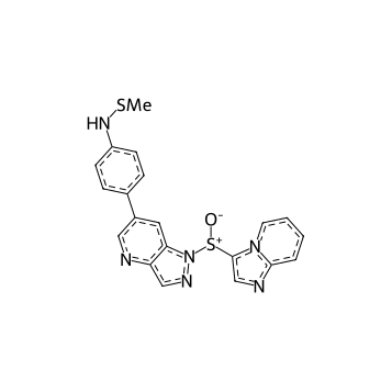 CSNc1ccc(-c2cnc3cnn([S+]([O-])c4cnc5ccccn45)c3c2)cc1